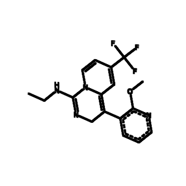 CCNC1=NCC(c2cccnc2OC)=C2C=C(C(F)(F)F)C=CN12